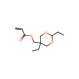 C=CC(=O)OCC1(CC)COC(CC)OC1